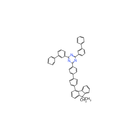 CC1(C)c2ccccc2-c2c(-c3ccc(-c4ccc(-c5nc(-c6cccc(-c7ccccc7)c6)nc(-c6cccc(-c7ccccc7)c6)n5)cc4)cc3)cccc21